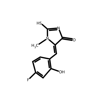 CN1C(S)=NC(=O)/C1=C/c1ccc(F)cc1O